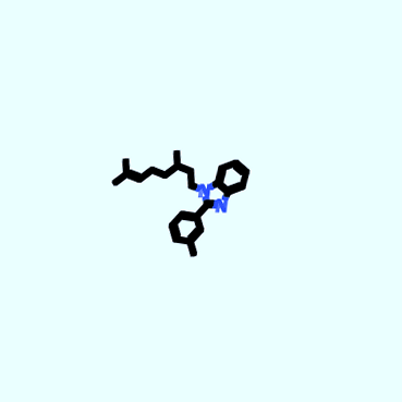 CC(C)=CCCC(C)CCn1c(-c2cccc(C)c2)nc2ccccc21